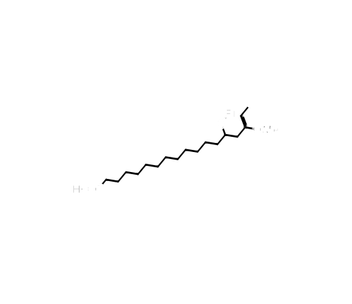 CC=C(CC(CCCCCCCCCCCCC(=O)O)OCC)OC